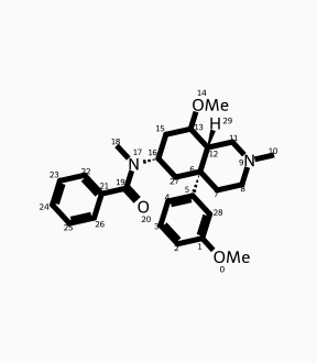 COc1cccc([C@@]23CCN(C)C[C@H]2C(OC)C[C@@H](N(C)C(=O)c2ccccc2)C3)c1